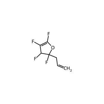 C=CCC1(F)OC(F)=C(F)C1F